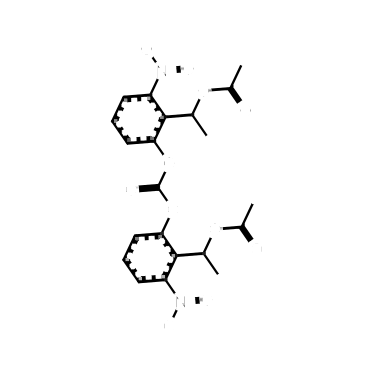 CC(=O)OC(C)c1c(OC(=O)Oc2cccc([N+](=O)[O-])c2C(C)OC(C)=O)cccc1[N+](=O)[O-]